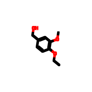 CCOc1ccc(CO)cc1OC